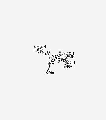 COCCCCCCNC(=O)CC(=O)NC(COCCC(=O)NCCCO[C@@H]1OC(CO)[C@H](O)[C@H](O)C1C)(COCCC(=O)NCCCO[C@@H]1OC(CO)[C@H](O)[C@H](O)C1C)COCC(=O)NCCCO[C@@H]1OC(CO)[C@H](O)[C@H](O)C1C